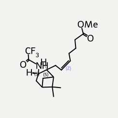 COC(=O)CCC/C=C\C[C@H]1C2CC(C[C@@H]1NC(=O)C(F)(F)F)C2(C)C